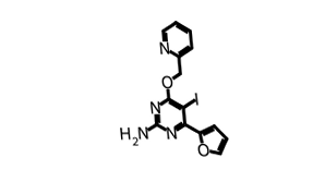 Nc1nc(OCc2ccccn2)c(I)c(-c2ccco2)n1